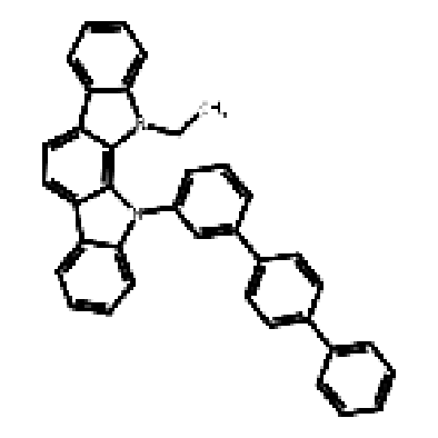 CCn1c2ccccc2c2ccc3c4ccccc4n(-c4cccc(-c5ccc(-c6ccccc6)cc5)c4)c3c21